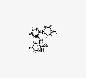 CN1CCN(c2nccnc2C=C2CCCNC2=O)CC1